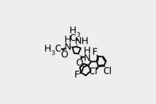 CN[C@@H]1C[C@H](C(=O)NC(c2c(F)ccc(Cl)c2Cl)C23CCC(F)(CC2)C3)C[C@@H]1NC(C)=O